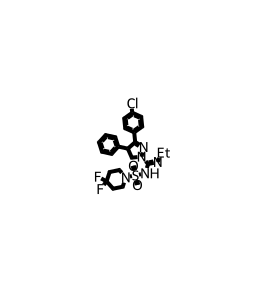 CCN=C(NS(=O)(=O)N1CCC(F)(F)CC1)N1CC(c2ccccc2)C(c2ccc(Cl)cc2)=N1